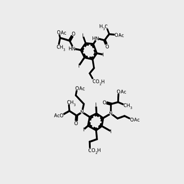 CC(=O)OC(C)C(=O)Nc1c(I)c(CCC(=O)O)c(I)c(NC(=O)C(C)OC(C)=O)c1I.CC(=O)OCCN(C(=O)C(C)OC(C)=O)c1c(I)c(CCC(=O)O)c(I)c(N(CCOC(C)=O)C(=O)C(C)OC(C)=O)c1I